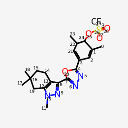 CC1=CC(c2nnc(-c3nn(C)c4c3CCC(C)(C)C4)o2)=CC(C)C1OS(=O)(=O)C(F)(F)F